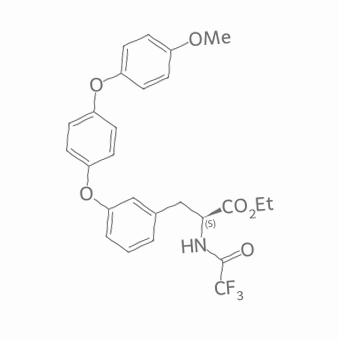 CCOC(=O)[C@H](Cc1cccc(Oc2ccc(Oc3ccc(OC)cc3)cc2)c1)NC(=O)C(F)(F)F